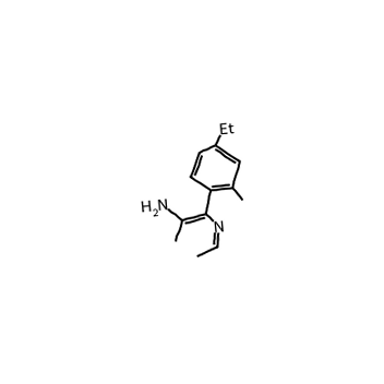 C/C=N\C(=C(/C)N)c1ccc(CC)cc1C